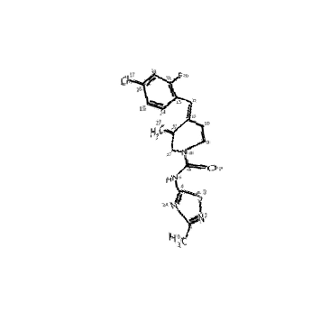 Cc1nsc(NC(=O)N2CC/C(=C/c3ccc(Cl)cc3F)C(C)C2)n1